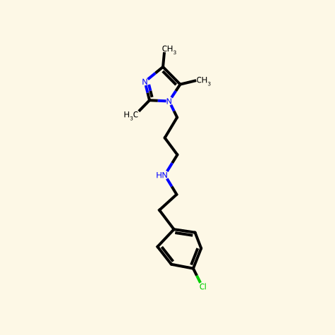 Cc1nc(C)n(CCCNCCc2ccc(Cl)cc2)c1C